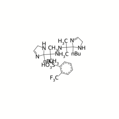 CCCCC1(C(C)(C)N=NC(C)(C)C2(CCCC)N=CCN2)N=CCN1.O=S(=O)(O)c1ccccc1C(F)(F)F